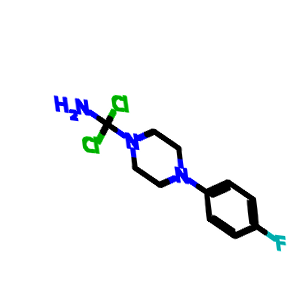 NC(Cl)(Cl)N1CCN(c2ccc(F)cc2)CC1